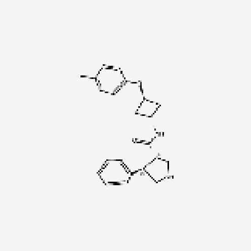 O=C(N[C@H]1C[C@H](Oc2ccc(F)nc2)C1)[C@@H]1CNC[C@H]1c1ccccc1